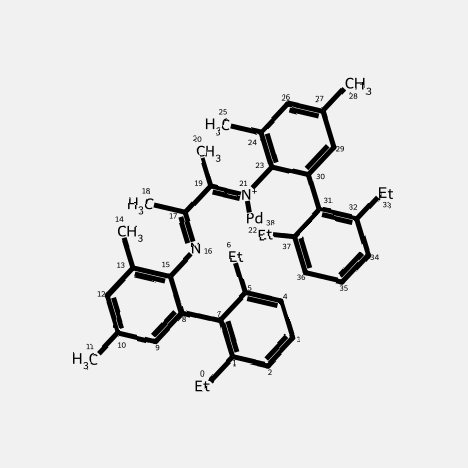 CCc1cccc(CC)c1-c1cc(C)cc(C)c1N=C(C)C(C)=[N+]([Pd])c1c(C)cc(C)cc1-c1c(CC)cccc1CC